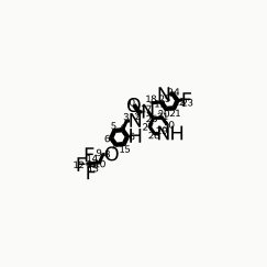 O=C(NCc1ccc(OCCC(F)(F)F)cc1)N(Cc1ccc(F)cn1)C1CCNCC1